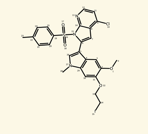 COc1cc2c(-c3cc4c(Cl)ccnc4n3S(=O)(=O)c3ccc(C)cc3)cn(C)c2cc1OCCI